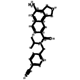 CC(C)N(Cc1ccc(C#N)cn1)C(=O)c1cc2c3c(c(N)nc2cn1)COC3